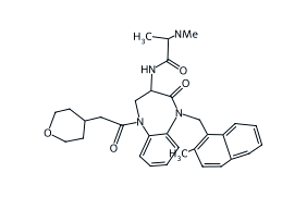 CNC(C)C(=O)NC1CN(C(=O)CC2CCOCC2)c2ccccc2N(Cc2c(C)ccc3ccccc23)C1=O